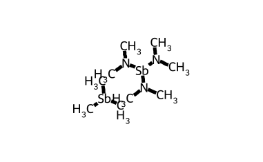 C[N](C)[Sb]([N](C)C)[N](C)C.[CH3][Sb]([CH3])[CH3]